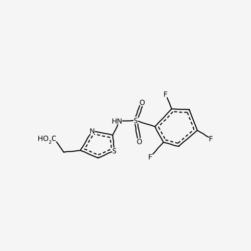 O=C(O)Cc1csc(NS(=O)(=O)c2c(F)cc(F)cc2F)n1